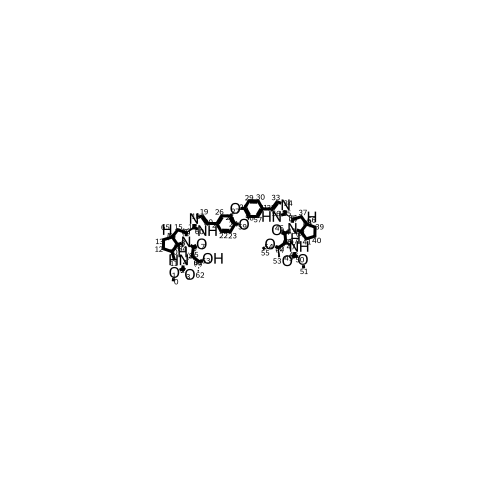 COC(=O)N[C@H](C(=O)N1[C@@H]2C(C)CC[C@@H]2C[C@H]1c1ncc(-c2ccc3c(c2)Oc2ccc(-c4cnc([C@@H]5C[C@@H]6CCC[C@@H]6N5C(=O)[C@@H](NC(=O)OC)[C@@H](C)OC)[nH]4)cc2O3)[nH]1)[C@@H](C)O